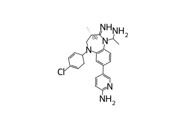 CC(N)N1C(=N)[C@@H](C)CN(C2C=CC(Cl)=CC2)c2cc(-c3ccc(N)nc3)ccc21